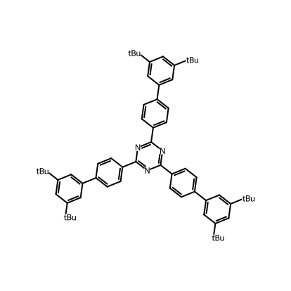 CC(C)(C)c1cc(-c2ccc(-c3nc(-c4ccc(-c5cc(C(C)(C)C)cc(C(C)(C)C)c5)cc4)nc(-c4ccc(-c5cc(C(C)(C)C)cc(C(C)(C)C)c5)cc4)n3)cc2)cc(C(C)(C)C)c1